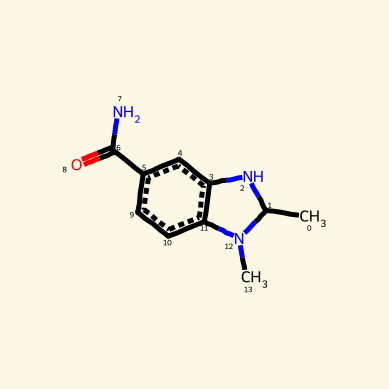 CC1Nc2cc(C(N)=O)ccc2N1C